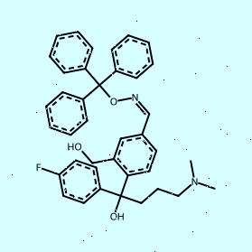 CN(C)CCCC(O)(c1ccc(F)cc1)c1ccc(/C=N\OC(c2ccccc2)(c2ccccc2)c2ccccc2)cc1CO